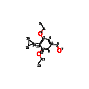 CCOc1cc(C=O)cc(OCC)c1C1CC1